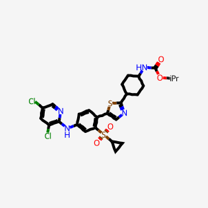 CC(C)OC(=O)NC1CCC(c2ncc(-c3ccc(Nc4ncc(Cl)cc4Cl)cc3S(=O)(=O)C3CC3)s2)CC1